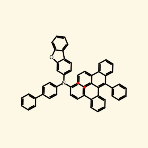 c1ccc(-c2ccc(N(c3ccc(-c4ccccc4-c4c(-c5ccccc5)c5ccccc5c5ccccc45)cc3)c3ccc4c(c3)oc3ccccc34)cc2)cc1